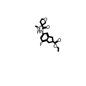 CCOC(=O)C1Cc2cc(NC(=O)[C@@]3(N(C)C)CCOC3)cc(F)c2C1